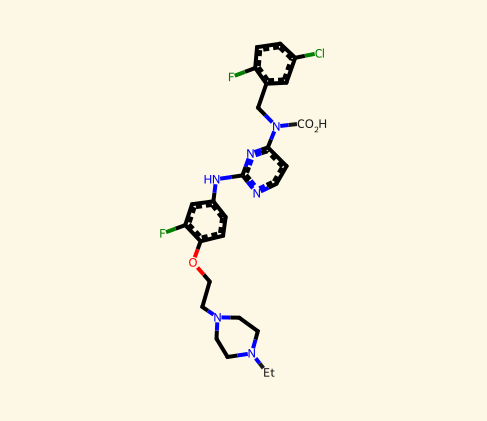 CCN1CCN(CCOc2ccc(Nc3nccc(N(Cc4cc(Cl)ccc4F)C(=O)O)n3)cc2F)CC1